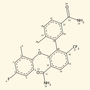 Cc1cc(F)ccc1Oc1c(C(N)=O)ccc(C(F)(F)F)c1-c1cc(C(N)=O)ccc1C